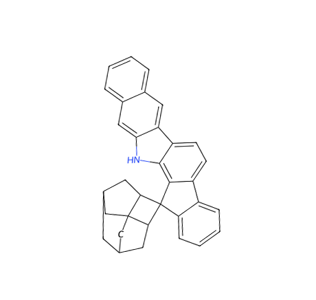 c1ccc2c(c1)-c1ccc3c([nH]c4cc5ccccc5cc43)c1C21C2CC3CC4CC1C2(C3)C4